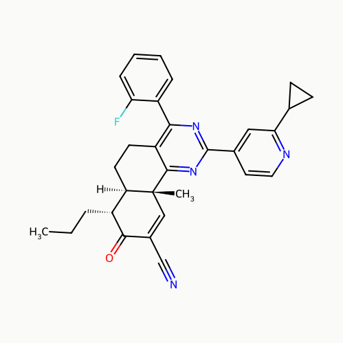 CCC[C@H]1C(=O)C(C#N)=C[C@@]2(C)c3nc(-c4ccnc(C5CC5)c4)nc(-c4ccccc4F)c3CC[C@H]12